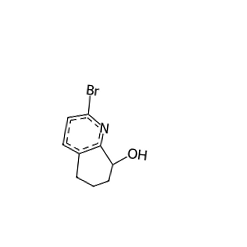 OC1CCCc2ccc(Br)nc21